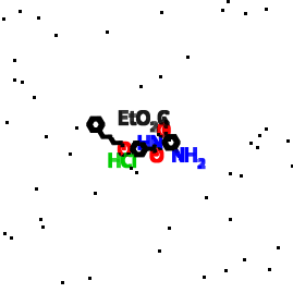 CCOC(=O)COc1ccc(N)cc1NC(=O)c1ccc(OCCCCc2ccccc2)cc1.Cl